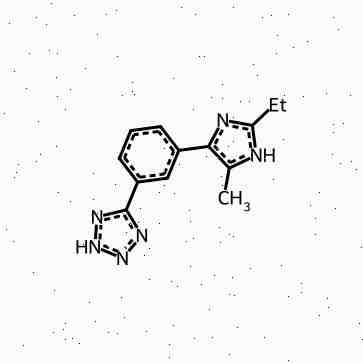 CCc1nc(-c2cccc(-c3nn[nH]n3)c2)c(C)[nH]1